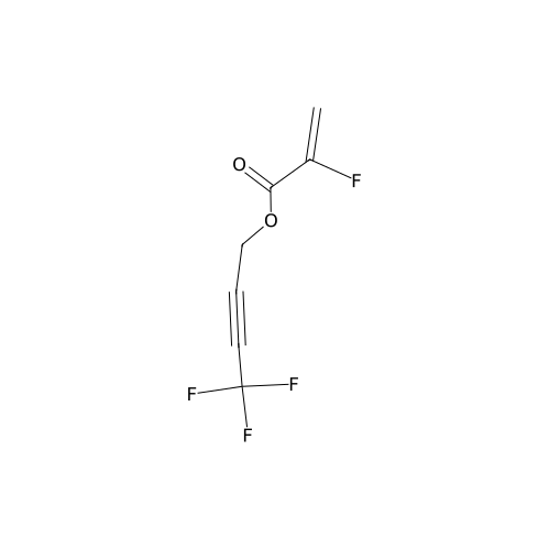 C=C(F)C(=O)OCC#CC(F)(F)F